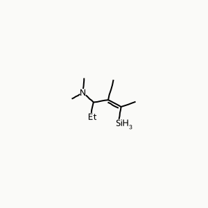 CCC(C(C)=C(C)[SiH3])N(C)C